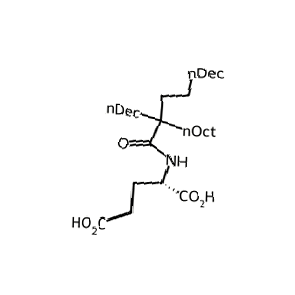 CCCCCCCCCCCCC(CCCCCCCC)(CCCCCCCCCC)C(=O)N[C@@H](CCC(=O)O)C(=O)O